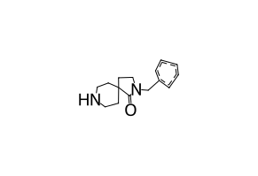 O=C1N(Cc2ccccc2)CCC12CCNCC2